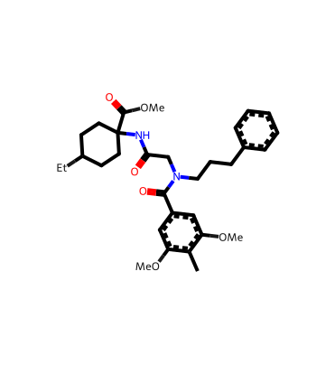 CCC1CCC(NC(=O)CN(CCCc2ccccc2)C(=O)c2cc(OC)c(C)c(OC)c2)(C(=O)OC)CC1